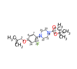 C=C(C)COc1ccc(N2CCN(C(=O)OC(C)(C)C)CC2)c(F)c1